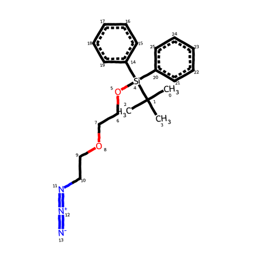 CC(C)(C)[Si](OCCOCCN=[N+]=[N-])(c1ccccc1)c1ccccc1